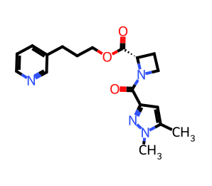 Cc1cc(C(=O)N2CC[C@H]2C(=O)OCCCc2cccnc2)nn1C